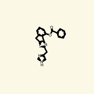 O=C(Oc1cccc2c1-c1nc(Cc3c[nH]cn3)sc1C2)c1ccccc1